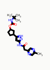 Cc1cnc(CC(=O)Nc2cc(C3CCC(OC(=O)NC(C)(C)C)C3)[nH]n2)cn1